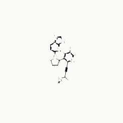 CC(C#Cc1ncc(F)cc1C1CCCN1c1ccc2nc[nH]c2n1)NC(=O)O